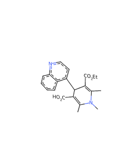 CCOC(=O)C1=C(C)N(C)C(C)=C(C(=O)O)C1c1ccnc2ccccc12